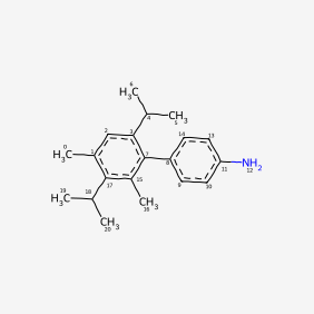 Cc1cc(C(C)C)c(-c2ccc(N)cc2)c(C)c1C(C)C